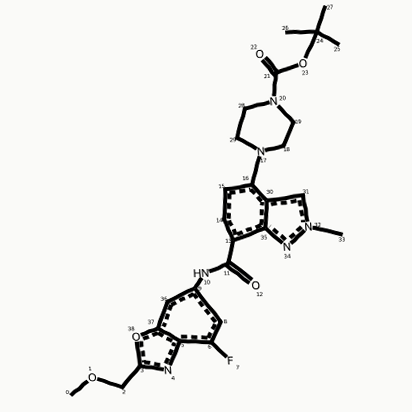 COCc1nc2c(F)cc(NC(=O)c3ccc(N4CCN(C(=O)OC(C)(C)C)CC4)c4cn(C)nc34)cc2o1